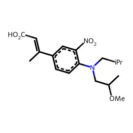 COC(C)CN(CC(C)C)c1ccc(/C(C)=C/C(=O)O)cc1[N+](=O)[O-]